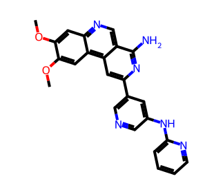 COc1cc2ncc3c(N)nc(-c4cncc(Nc5ccccn5)c4)cc3c2cc1OC